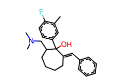 Cc1cc(C2(O)C(=Cc3ccccc3)CCCCC2CN(C)C)ccc1F